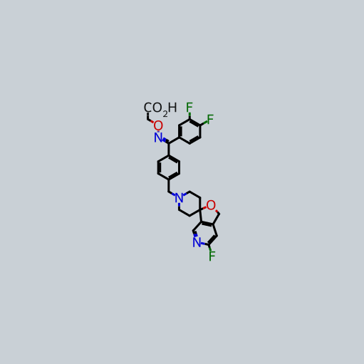 O=C(O)CON=C(c1ccc(CN2CCC3(CC2)OCc2cc(F)ncc23)cc1)c1ccc(F)c(F)c1